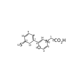 O=C(O)CN1C=COC(C2=CC=CC(=S)C2)=C1